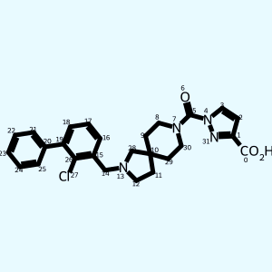 O=C(O)c1ccn(C(=O)N2CCC3(CCN(Cc4cccc(-c5ccccc5)c4Cl)C3)CC2)n1